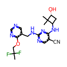 CC(F)(F)COc1ncncc1CNc1ncc(C#N)c(NC2C[C@@H](O)C2(C)C)n1